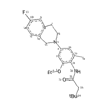 CCOc1cc(N2CCc3cc(F)ccc3C2)cc(C)c1NC(=O)CC(C)(C)C